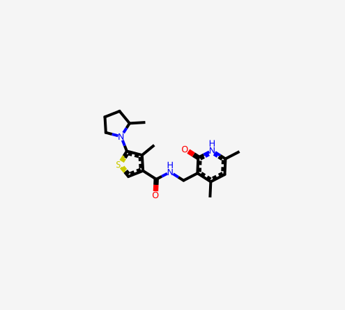 Cc1cc(C)c(CNC(=O)c2csc(N3CCCC3C)c2C)c(=O)[nH]1